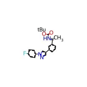 C[C@@H](NC(=O)OC(C)(C)C)c1cccc(-c2cnn(-c3ccc(F)cc3)c2)c1